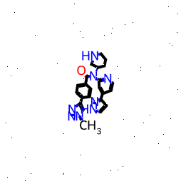 Cn1cc(-c2ccc(C(=O)N(c3cc(-c4cc[nH]n4)ccn3)[C@@H]3CCCNC3)cc2)nn1